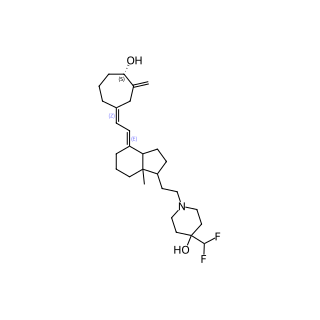 C=C1C/C(=C\C=C2/CCCC3(C)C(CCN4CCC(O)(C(F)F)CC4)CCC23)CCC[C@@H]1O